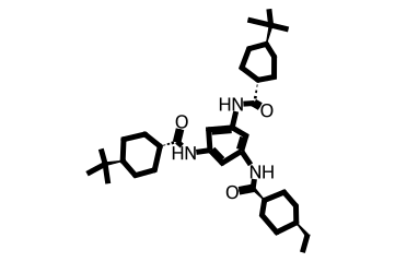 CC[C@H]1CC[C@@H](C(=O)Nc2cc(NC(=O)[C@H]3CC[C@H](C(C)(C)C)CC3)cc(NC(=O)[C@H]3CC[C@H](C(C)(C)C)CC3)c2)CC1